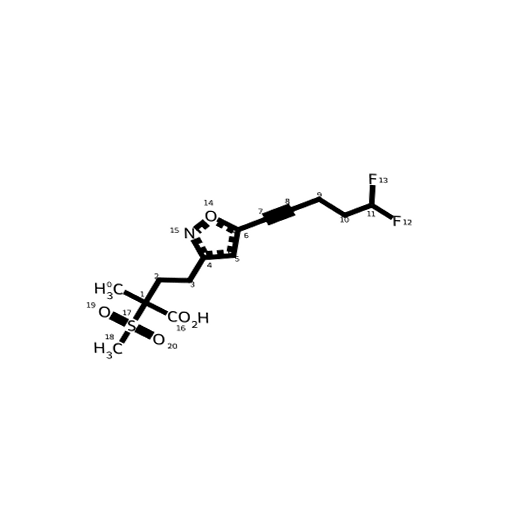 CC(CCc1cc(C#CCCC(F)F)on1)(C(=O)O)S(C)(=O)=O